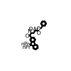 CCCC1(CCC)c2ccccc2-c2ccc(C(=O)/C(CCC(=O)OCc3ccccc3)=N/OC(C)=O)cc21